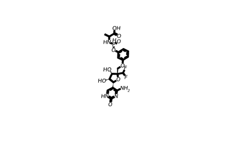 CC(N[PH](=O)Oc1cccc(OC[C@@]2(C(F)F)O[C@H](c3c[nH]c(=O)nc3N)[C@H](O)[C@@H]2O)c1)C(=O)O